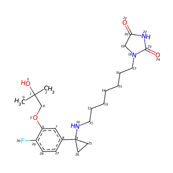 CC(C)(O)COc1cc(C2(NCCCCCCCN3CC(=O)NC3=O)CC2)ccc1F